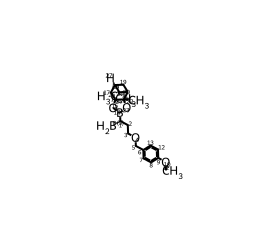 B[C@H](CCOCc1ccc(OC)cc1)B1OC2C[C@@H]3CC(C2(C)O1)C3(C)C